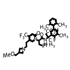 COCC1CN(CCc2cn(C(CC(C)C)C(=O)N[C@](C)(CC(=O)O)c3cc(-c4c(C)cccc4C)cc(C)c3F)c(=O)cc2C(F)(F)F)C1